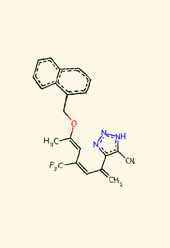 C=C(/C=C(\C=C(/C)OCc1cccc2ccccc12)C(F)(F)F)c1nn[nH]c1C#N